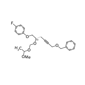 COC(C)OCO[C@@H](CC#CCOCc1ccccc1)COc1ccc(F)cc1